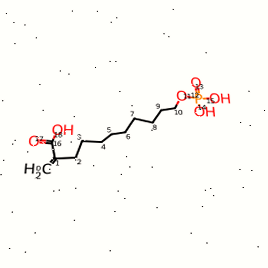 C=C(CCCCCCCCCOP(=O)(O)O)C(=O)O